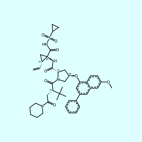 C=C[C@@H]1C[C@]1(NC(=O)[C@@H]1C[C@@H](Oc2cc(-c3ccccc3)cc3cc(OC)ccc23)CN1C(=O)[C@@H](CC(=O)N1CCCCC1)C(C)(C)C)C(=O)NS(=O)(=O)C1CC1